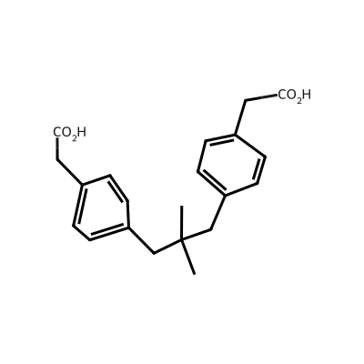 CC(C)(Cc1ccc(CC(=O)O)cc1)Cc1ccc(CC(=O)O)cc1